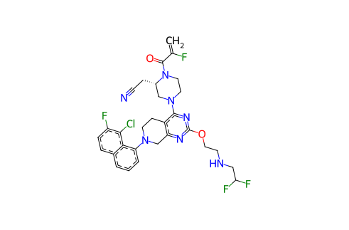 C=C(F)C(=O)N1CCN(c2nc(OCCNCC(F)F)nc3c2CCN(c2cccc4ccc(F)c(Cl)c24)C3)C[C@@H]1CC#N